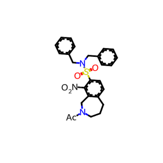 CC(=O)N1CCCc2ccc(S(=O)(=O)N(Cc3ccccc3)Cc3ccccc3)c([N+](=O)[O-])c2C1